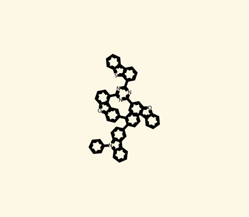 c1ccc(-n2c3ccccc3c3cc(-c4ccccc4-c4ccc5oc6cccc(-c7nc(-c8ccc9c(c8)oc8ccccc89)nc(-c8cccc9c8sc8ccccc89)n7)c6c5c4)ccc32)cc1